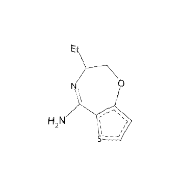 CCC1COc2ccsc2C(N)=N1